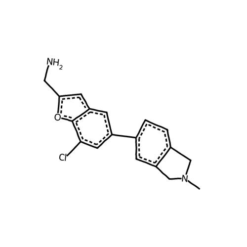 CN1Cc2ccc(-c3cc(Cl)c4oc(CN)cc4c3)cc2C1